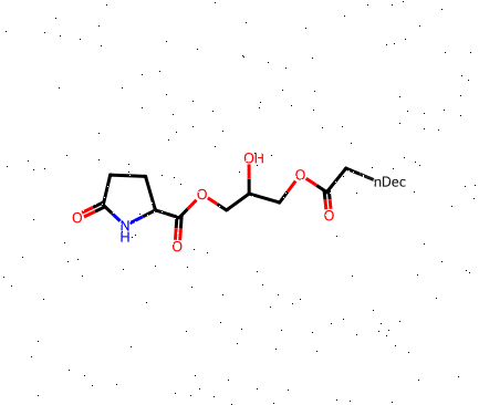 CCCCCCCCCCCC(=O)OCC(O)COC(=O)C1CCC(=O)N1